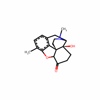 Cc1ccc2c3c1OC1C(=O)CC[C@@]4(O)C(C2)N(C)CC[C@]314